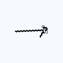 CCC/C=C(\C)C(CCCCCCCCCCCCCCCCCCC)N1C(=O)CCC1=O